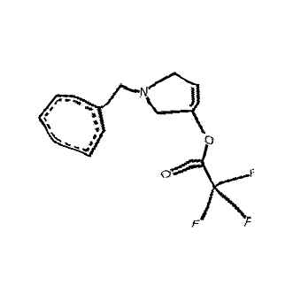 O=C(OC1=CCN(Cc2ccccc2)C1)C(F)(F)F